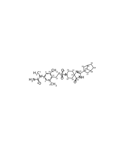 Cc1cc(N(C)C(N)=O)cc(C)c1CCS(=O)(=O)N1CCC2(CC1)N=C(C1CC3CCC(C3)C1)NC2=O